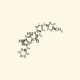 CN1CCN(Cc2ccc3c(c2)CN(C(=O)c2cc4c(CN5CCCCC5)n[nH]c4cc2O)C3)CC1